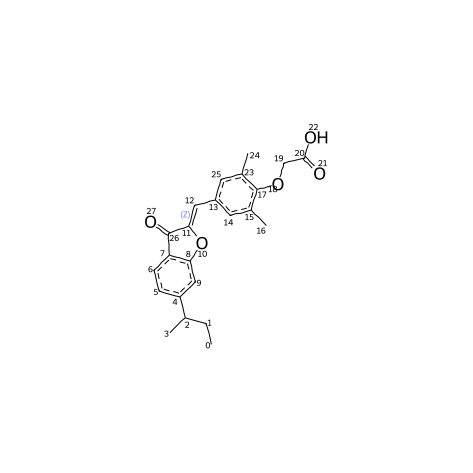 CCC(C)c1ccc2c(c1)O/C(=C\c1cc(C)c(OCC(=O)O)c(C)c1)C2=O